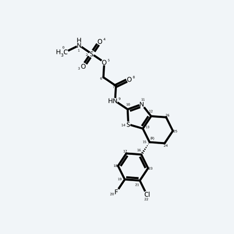 CNS(=O)(=O)OCC(=O)Nc1nc2c(s1)[C@@H](c1ccc(F)c(Cl)c1)CCC2